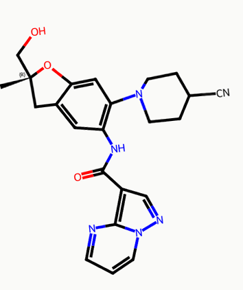 C[C@]1(CO)Cc2cc(NC(=O)c3cnn4cccnc34)c(N3CCC(C#N)CC3)cc2O1